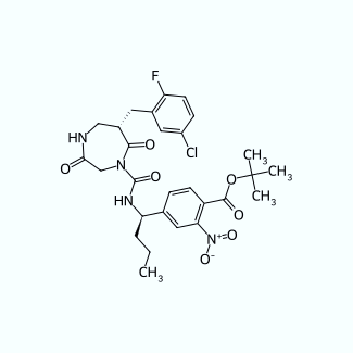 CCC[C@@H](NC(=O)N1CC(=O)NC[C@H](Cc2cc(Cl)ccc2F)C1=O)c1ccc(C(=O)OC(C)(C)C)c([N+](=O)[O-])c1